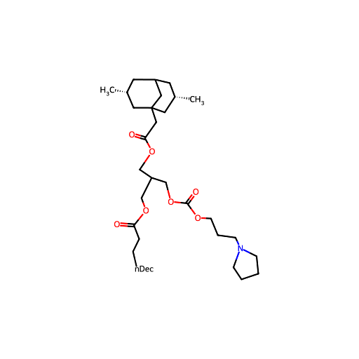 CCCCCCCCCCCCC(=O)OCC(COC(=O)CC12CC(C[C@@H](C)C1)C[C@H](C)C2)COC(=O)OCCCN1CCCC1